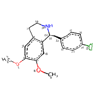 COc1cc2c(cc1OC)[C@H](c1ccc(Cl)cc1)NCC2